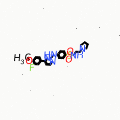 COc1ccc(-c2ccnc(Nc3ccc(S(=O)(=O)NCCN4CCCC4)cc3)n2)cc1F